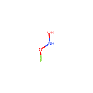 ONOF